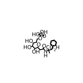 CC(Cc1ccccc1)(NC(=O)CC1OC(COP(=O)(O)O)C(O)C(O)C1O)C(=O)O